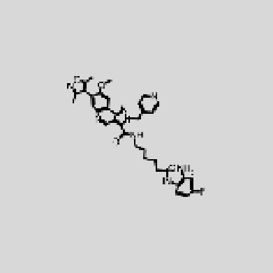 COc1cc2c(cc1-c1c(C)noc1C)ncc1c(C(=O)NCCCCCC(=O)Nc3ccc(F)cc3N)n(Cc3ccncc3)nc12